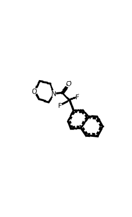 O=C(N1CCOCC1)C(F)(F)c1ccc2ccccc2c1